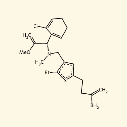 BC(=C)CCc1cc(CN(C)[C@H](C(=C)OC)C2=CCCC=C2Cl)c(CC)s1